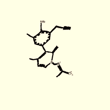 C#CCc1cc(C2=C(C)C=CN(/N=C(\C)C(F)(F)F)C2=C)cc(C)c1NC